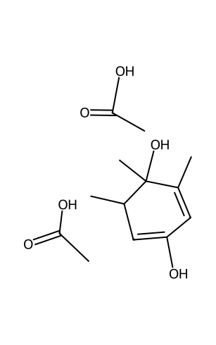 CC(=O)O.CC(=O)O.CC1=CC(O)=CC(C)C1(C)O